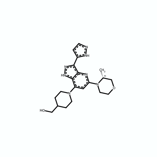 C[C@@H]1COCCN1c1cc(N2CCC(CO)CC2)c2[nH]nc(-c3ccn[nH]3)c2n1